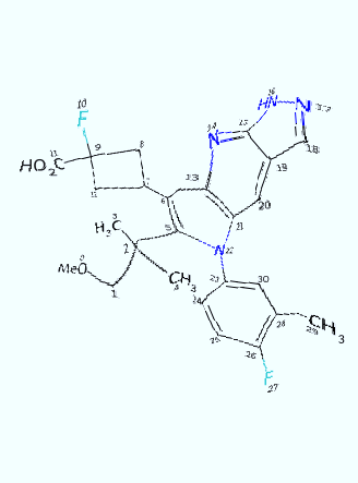 COCC(C)(C)c1c(C2CC(F)(C(=O)O)C2)c2nc3[nH]ncc3cc2n1-c1ccc(F)c(C)c1